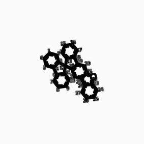 c1ccc2c(c1)-c1ccccc1C21c2ccccc2-c2cc3oc4ccccc4c3cc21